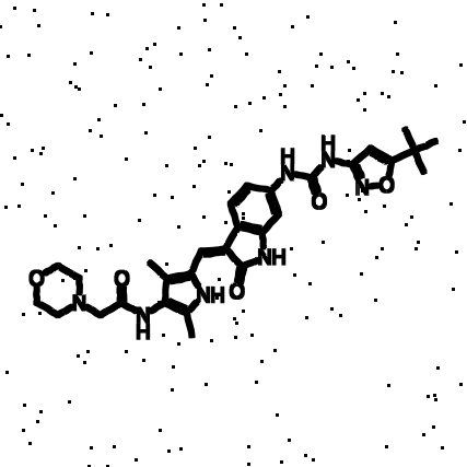 Cc1[nH]c(C=C2C(=O)Nc3cc(NC(=O)Nc4cc(C(C)(C)C)on4)ccc32)c(C)c1NC(=O)CN1CCOCC1